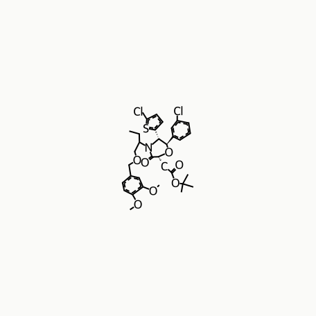 CCC(COCc1ccc(OC)c(OC)c1)N1C(=O)[C@@H](CC(=O)OC(C)(C)C)O[C@H](c2cccc(Cl)c2)[C@H]1c1ccc(Cl)s1